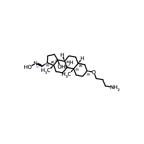 C[C@]12CC[C@H](OCCCN)C[C@H]1CC[C@@H]1[C@@H]2CC[C@]2(C)[C@@H](/C=N/O)CC[C@]12O